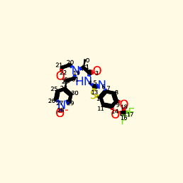 C[C@@H](C(=O)Nc1nc2cc3c(cc2s1)OC(F)(F)O3)N1CCO[C@H](c2cc[n+]([O-])cc2)C1